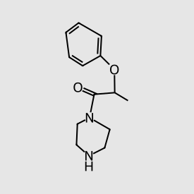 CC(Oc1ccccc1)C(=O)N1CCNCC1